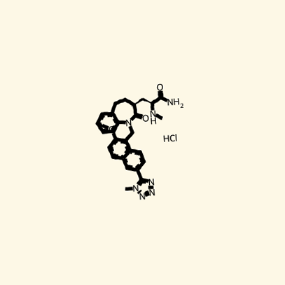 CN[C@@H](C[C@@H]1CCc2ccccc2N(Cc2c(OC)ccc3cc(-c4nnnn4C)ccc23)C1=O)C(N)=O.Cl